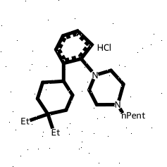 CCCCCN1CCN(c2ccccc2C2CCC(CC)(CC)CC2)CC1.Cl